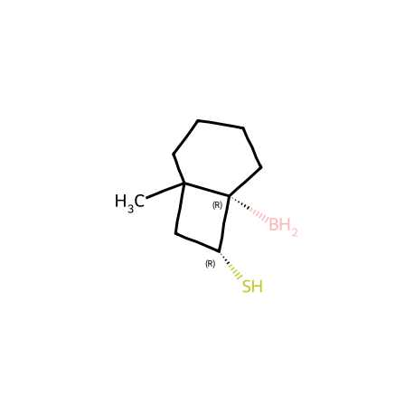 B[C@@]12CCCCC1(C)C[C@H]2S